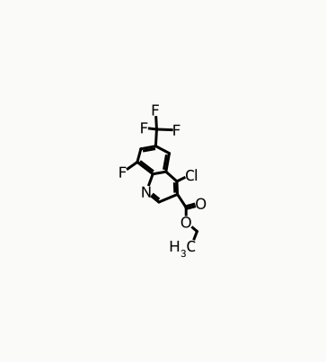 CCOC(=O)c1cnc2c(F)cc(C(F)(F)F)cc2c1Cl